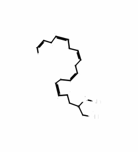 CC/C=C\C/C=C\C/C=C\C/C=C\C/C=C\CCC(CO)SCCC